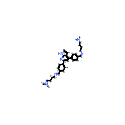 CN(C)CCCC/N=C\c1ccc(-c2cc(-c3ccc(/C=N/CCCCN(C)C)cc3)nc3[nH]ccc23)cc1